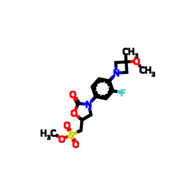 COC1(C)CN(c2ccc(N3CC(CS(=O)(=O)OC)OC3=O)cc2F)C1